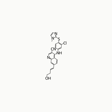 Cn1ccnc1Sc1ccc(Nc2c(C#N)cnc3cc(C=CCCO)ccc23)cc1Cl